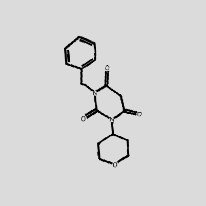 O=C1CC(=O)N(C2CCOCC2)C(=O)N1Cc1ccccc1